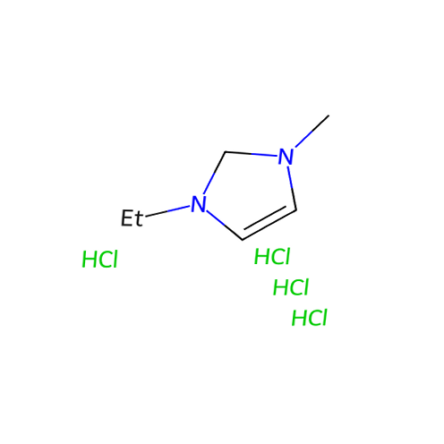 CCN1C=CN(C)C1.Cl.Cl.Cl.Cl